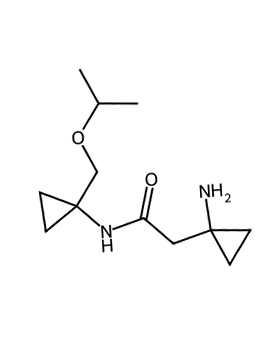 CC(C)OCC1(NC(=O)CC2(N)CC2)CC1